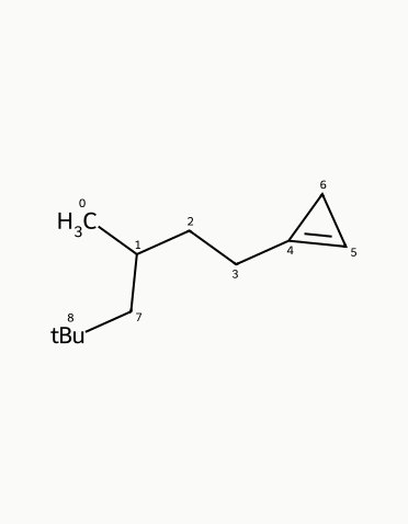 CC(CCC1=CC1)CC(C)(C)C